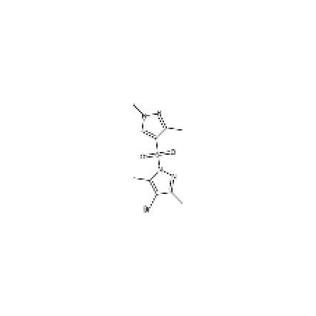 Cc1nn(C)cc1S(=O)(=O)n1nc(C)c(Br)c1C